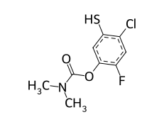 CN(C)C(=O)Oc1cc(S)c(Cl)cc1F